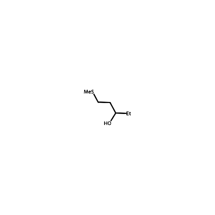 [CH2]CC(O)CCSC